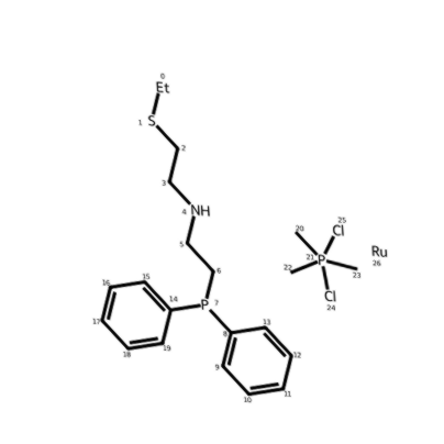 CCSCCNCCP(c1ccccc1)c1ccccc1.CP(C)(C)(Cl)Cl.[Ru]